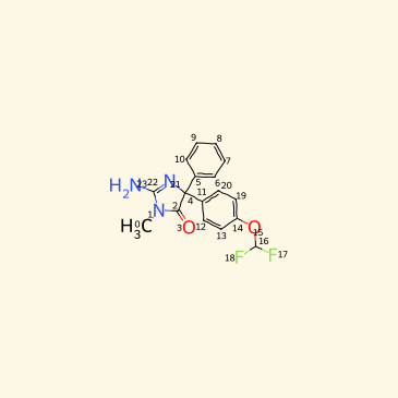 CN1C(=O)C(c2ccccc2)(c2ccc(OC(F)F)cc2)N=C1N